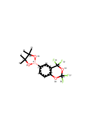 CC1(C)OB(c2ccc3c(c2)C(F)(F)OC(F)(F)O3)OC1(C)C